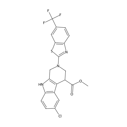 COC(=O)C1CN(c2nc3ccc(C(F)(F)F)cc3s2)Cc2[nH]c3ccc(Cl)cc3c21